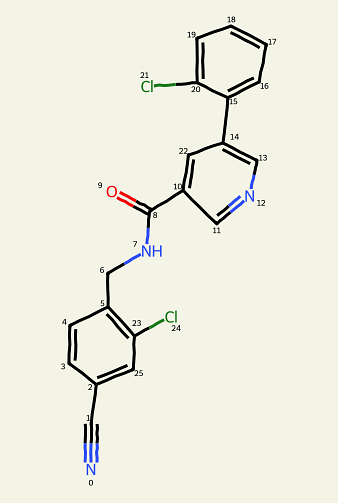 N#Cc1ccc(CNC(=O)c2cncc(-c3ccccc3Cl)c2)c(Cl)c1